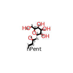 CCCCC/C=C/C(=O)C[C@@H]1OC(CO)[C@@H](O)C(O)C1O